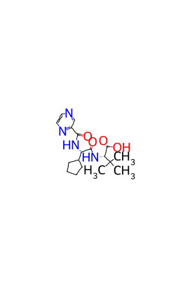 CC(C)(C)[C@H](NC(=O)[C@@H](NC(=O)c1cnccn1)C1CCCC1)C(=O)O